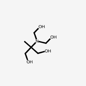 CC(CO)(CO)N(CO)CO